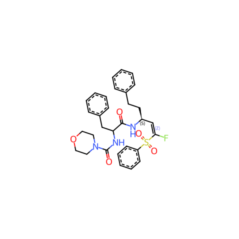 O=C(N[C@H](/C=C(/F)S(=O)(=O)c1ccccc1)CCc1ccccc1)C(Cc1ccccc1)NC(=O)N1CCOCC1